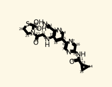 N#Cc1ncc(-c2cnc(NC(=O)C3CC3)cn2)cc1NCC(=O)N1CCSC1(O)O